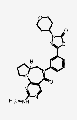 CNc1ncc2c(n1)N1CCC[C@H]1CN(c1cccc(-c3nn(C4CCOCC4)c(=O)o3)c1)C2=O